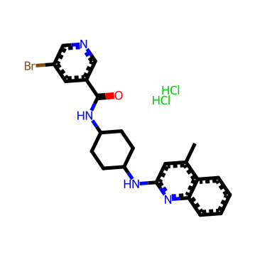 Cc1cc(NC2CCC(NC(=O)c3cncc(Br)c3)CC2)nc2ccccc12.Cl.Cl